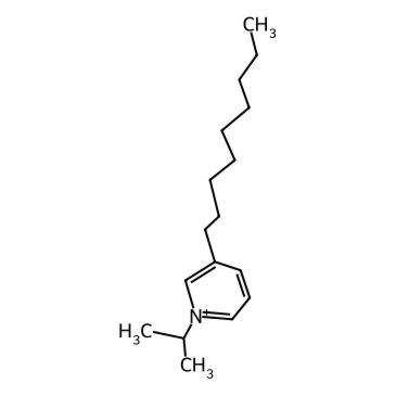 CCCCCCCCCc1ccc[n+](C(C)C)c1